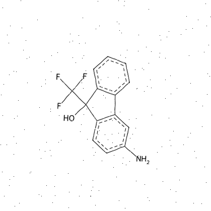 Nc1ccc2c(c1)-c1ccccc1C2(O)C(F)(F)F